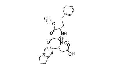 CCOC(=O)C(CCc1ccccc1)NC1COc2cc3c(cc2C(CC(=O)O)[NH+]1[O-])CCC3